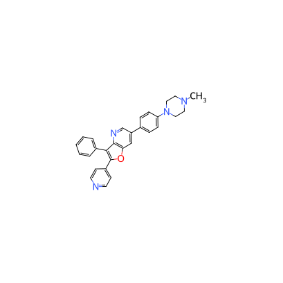 CN1CCN(c2ccc(-c3cnc4c(-c5ccccc5)c(-c5ccncc5)oc4c3)cc2)CC1